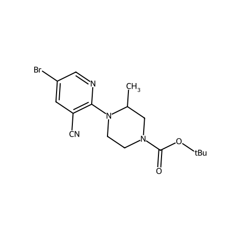 CC1CN(C(=O)OC(C)(C)C)CCN1c1ncc(Br)cc1C#N